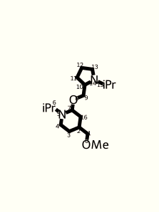 COCC1CCN(C(C)C)C(OCC2CCCN2C(C)C)C1